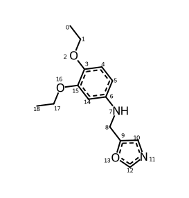 CCOc1ccc(NCc2cnco2)cc1OCC